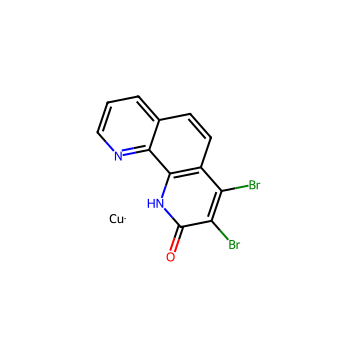 O=c1[nH]c2c(ccc3cccnc32)c(Br)c1Br.[Cu]